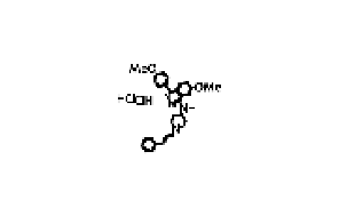 COc1ccc(-c2nnc(NC3CCN(CC=Cc4ccccc4)CC3)c3cc(OC)ccc23)cc1.Cl.Cl